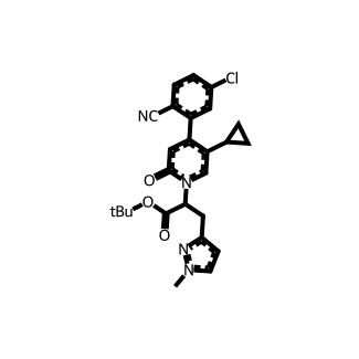 Cn1ccc(CC(C(=O)OC(C)(C)C)n2cc(C3CC3)c(-c3cc(Cl)ccc3C#N)cc2=O)n1